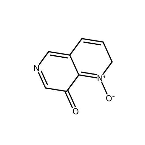 O=C1C=NC=C2C=CC[N+]([O-])=C12